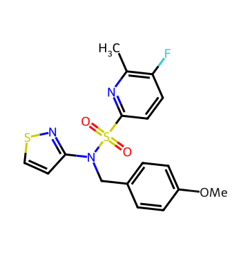 COc1ccc(CN(c2ccsn2)S(=O)(=O)c2ccc(F)c(C)n2)cc1